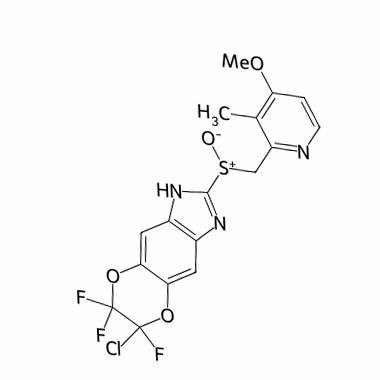 COc1ccnc(C[S+]([O-])c2nc3cc4c(cc3[nH]2)OC(F)(F)C(F)(Cl)O4)c1C